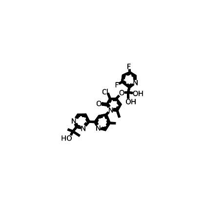 Cc1cnc(-c2ccnc(C(C)(C)O)n2)cc1-n1c(C)cc(OC(O)(O)c2ncc(F)cc2F)c(Cl)c1=O